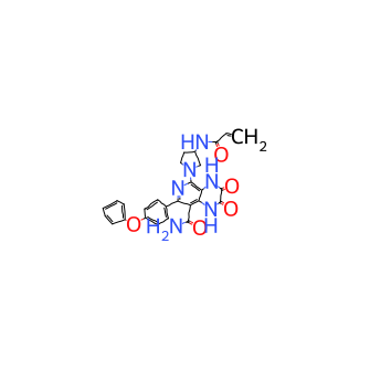 C=CC(=O)NC1CCN(c2nc(-c3ccc(Oc4ccccc4)cc3)c(C(N)=O)c3[nH]c(=O)c(=O)[nH]c23)C1